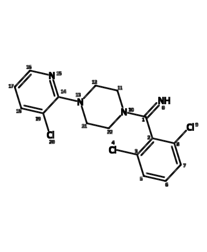 N=C(c1c(Cl)cccc1Cl)N1CCN(c2ncccc2Cl)CC1